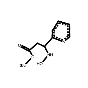 CC(C)(C)OC(=O)CC(NO)c1ccccn1